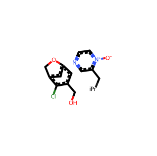 CC(C)Cc1cncc[n+]1[O-].OCc1cc2cc(c1Cl)CO2